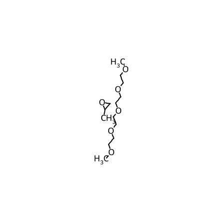 CC1CO1.COCCOCCOCCOCCOC